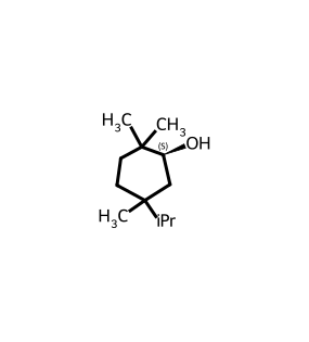 CC(C)C1(C)CCC(C)(C)[C@@H](O)C1